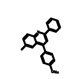 COc1ccc(-c2cc(-c3ccccc3)nc3ccc(C)cc23)cc1